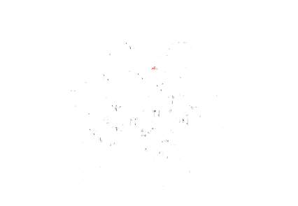 N#Cc1c(-n2c3ccccc3c3ncccc32)c(-n2c3ccc(-c4ccccc4)cc3c3cc(-c4ccccc4)ccc32)c(-n2c3ccccc3c3ncccc32)c(-n2c3ccc(-c4ccccc4)cc3c3cc(-c4ccccc4)ccc32)c1-n1c2ccccc2c2ncccc21